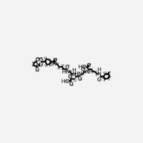 Cc1cccc(C(=O)NCCCCC(NC(=O)CNC(=O)[C@@H](CCC(=O)O)NC(=O)CNC(=O)CCCCNC(=O)C2CCC(C(=O)ON3C(=O)CCC3=O)CC2)C(=O)O)c1